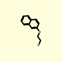 [O]CCOc1ccc2ccccc2c1